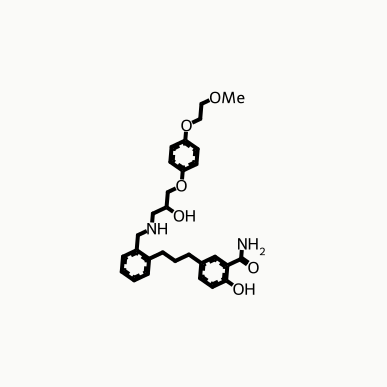 COCCOc1ccc(OCC(O)CNCc2ccccc2CCCc2ccc(O)c(C(N)=O)c2)cc1